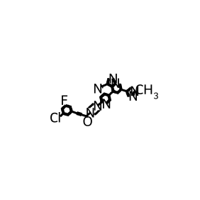 Cn1cc(-c2cc(-c3ccc(N4CCN(C(=O)C#Cc5cc(F)cc(Cl)c5)CC4)nc3)c3c(C#N)cnn3c2)cn1